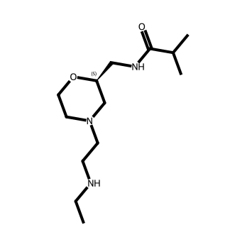 CCNCCN1CCO[C@@H](CNC(=O)C(C)C)C1